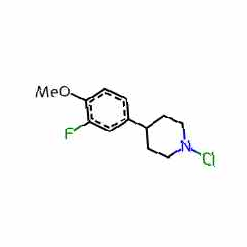 COc1ccc(C2CCN(Cl)CC2)cc1F